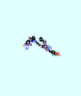 CC(C)(C)[C@H](NC(=O)c1cc2cc(C(F)(F)P(=O)(O)O)ccc2s1)C(=O)N1C[C@@H](OCCCCCNc2cccc3c2CN(C2CCC(=O)NC2=O)C3=O)C[C@H]1C(=O)N1CCO[C@H](c2ccccc2)C1